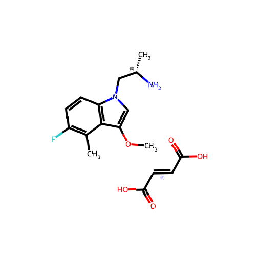 COc1cn(C[C@H](C)N)c2ccc(F)c(C)c12.O=C(O)/C=C/C(=O)O